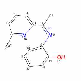 CC(=O)c1cccc(/C(C)=N\c2ccccc2O)n1